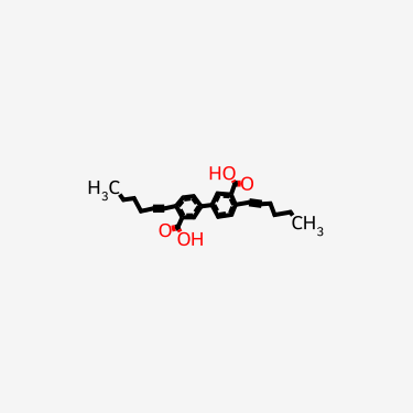 CCCCC#Cc1ccc(-c2ccc(C#CCCCC)c(C(=O)O)c2)cc1C(=O)O